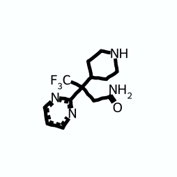 NC(=O)CC(c1ncccn1)(C1CCNCC1)C(F)(F)F